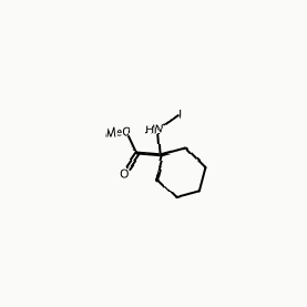 COC(=O)C1(NI)CCCCC1